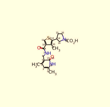 Cc1cc(C)c(CNC(=O)c2csc(C3CCN(C(=O)O)C3)c2C)c(=O)[nH]1